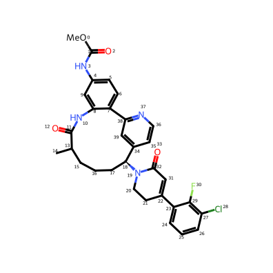 COC(=O)Nc1ccc2c(c1)NC(=O)C(C)CCC[C@H](N1CCC(c3cccc(Cl)c3F)=CC1=O)c1ccnc-2c1